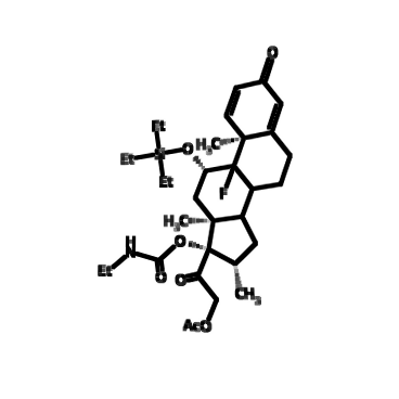 CCNC(=O)O[C@@]1(C(=O)COC(C)=O)[C@@H](C)CC2C3CCC4=CC(=O)C=C[C@]4(C)C3(F)[C@@H](O[Si](CC)(CC)CC)C[C@@]21C